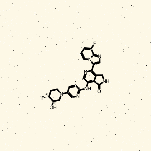 O=C1NCc2c(-c3cnc4c(F)cccn34)ncc(Nc3ccc(N4CC[C@@H](F)[C@H](O)C4)cn3)c21